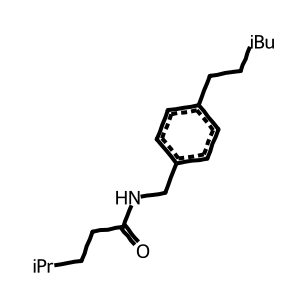 CCC(C)CCc1ccc(CNC(=O)CCC(C)C)cc1